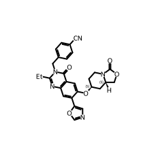 CCc1nc2cc(-c3cnco3)c(O[C@H]3CCN4C(=O)OC[C@@H]4C3)cc2c(=O)n1Cc1ccc(C#N)cc1